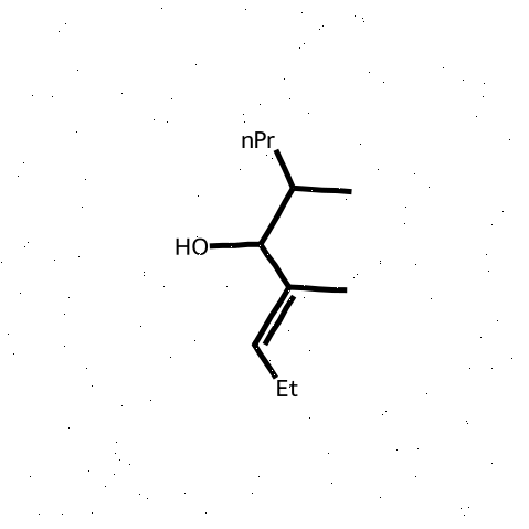 CC/C=C(\C)C(O)C(C)CCC